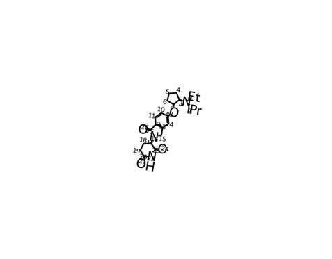 CCN(C(C)C)C1CCCC1Oc1ccc2c(c1)CN(C1CCC(=O)NC1=O)C2=O